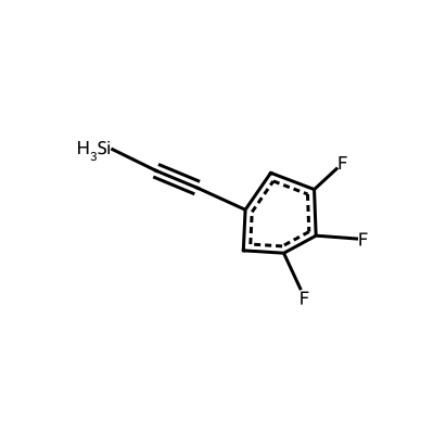 Fc1cc(C#C[SiH3])cc(F)c1F